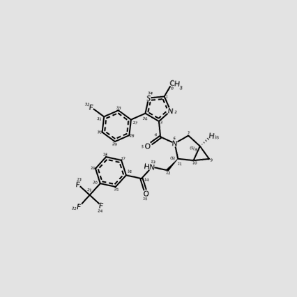 Cc1nc(C(=O)N2C[C@H]3CC3[C@H]2CNC(=O)c2cccc(C(F)(F)F)c2)c(-c2cccc(F)c2)s1